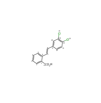 O=C(O)c1ccccc1C=Cc1ccc(Cl)c(Cl)c1